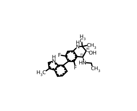 CCN[C@H]1c2c(cc(F)c(-c3cccc4c(C)c[nH]c34)c2F)NC(C)(C)[C@@H]1O